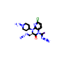 [N-]=[N+]=NC[C@@H]1C(=O)N(C(I)N=[N+]=[N-])c2ccc(Cl)nc2N1C1CCN(N)CC1